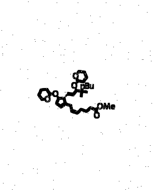 CCCCC(C)(C)[C@@H](/C=C/[C@@H]1C(C/C=C\CCCC(=O)OC)=CC[C@H]1OC1CCCCO1)OC1CCCCO1